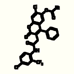 CCC(=O)Oc1cc2c(-c3ccccc3)c(CC(=O)Nc3ccc(Cl)cc3C(F)(F)F)c(=O)oc2cc1Cl